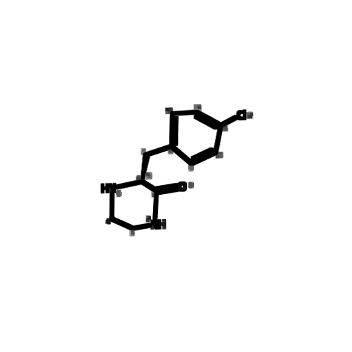 O=C1NCCN[C@H]1Cc1ccc(Cl)cc1